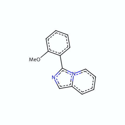 COc1ccccc1-c1ncc2ccccn12